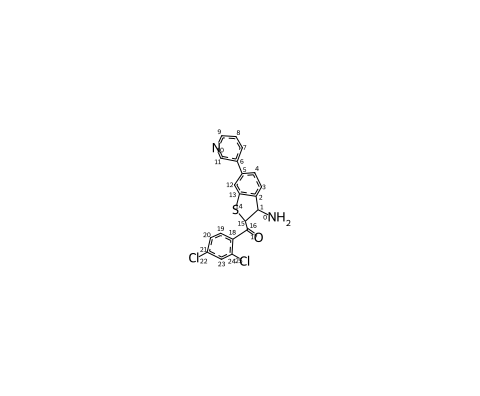 NC1c2ccc(-c3cccnc3)cc2SC1C(=O)c1ccc(Cl)cc1Cl